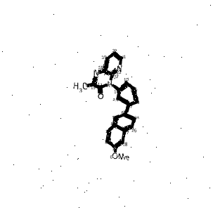 COc1ccc2cc(-c3cccc(-n4c(=O)c(C)nc5cccnc54)c3)ccc2c1